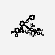 CC(C)(C#Cc1c(Nc2ccc(F)c(Cl)c2)cccc1OCc1ccccc1)CO[Si](C)(C)C(C)(C)C